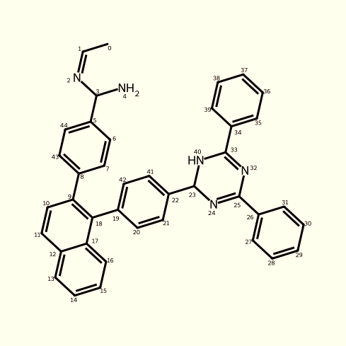 C/C=N\C(N)c1ccc(-c2ccc3ccccc3c2-c2ccc(C3N=C(c4ccccc4)N=C(c4ccccc4)N3)cc2)cc1